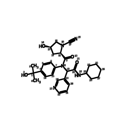 CC(C)(O)c1ccc(N(C(=O)[C@H]2C[C@@H](O)CN2C#N)C(C(=O)NC2CCCCC2)c2cccnc2)cc1